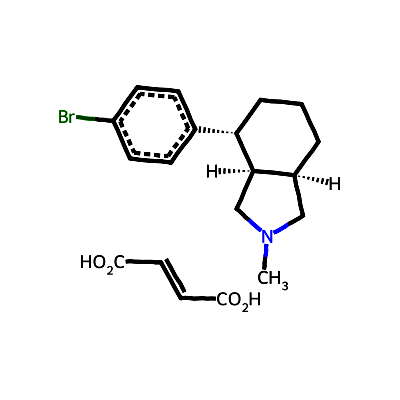 CN1C[C@@H]2CCC[C@@H](c3ccc(Br)cc3)[C@@H]2C1.O=C(O)/C=C/C(=O)O